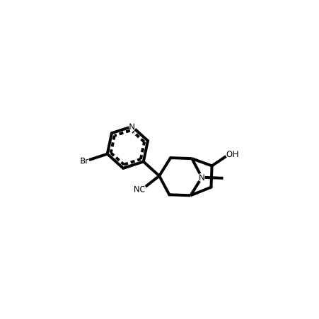 CN1C2CC(O)C1CC(C#N)(c1cncc(Br)c1)C2